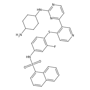 NC1CCC(Nc2nccc(-c3cnccc3Sc3ccc(NS(=O)(=O)c4cccc5ccccc45)cc3F)n2)CC1